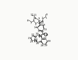 CCC[CH2][Sn]([CH2]CCC)([CH2]CCC)[c]1ccc(C(=O)N2Cc3cccn3Cc3ccccc32)cc1